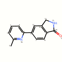 Cc1cccc(-c2ccc3c(c2)CNC3=O)n1